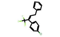 FC(F)(F)/C(=C/Cc1ccccc1)c1ccc(Cl)cc1